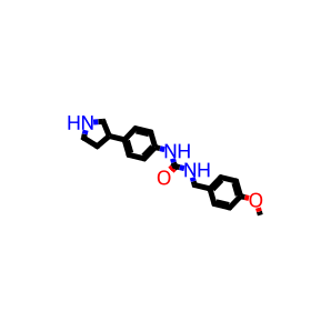 COc1ccc(CNC(=O)Nc2ccc(C3CCNC3)cc2)cc1